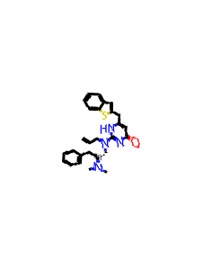 C=CCN(C[C@@H](Cc1ccccc1)N(C)C)c1nc(=O)cc(Cc2cc3ccccc3s2)[nH]1